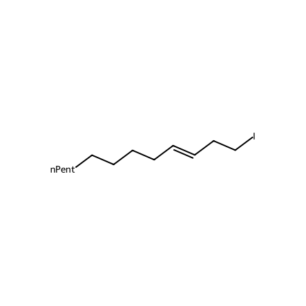 CCCCCCCCCC=CCCI